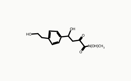 CN(O)C(=O)C(=O)CC(O)c1ccc(CCO)cc1